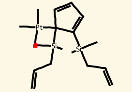 C=CC[Si](C)(C)C1=CC=C[C]1([Si](C)(C)CC=C)[Pt]([CH3])([CH3])[CH3]